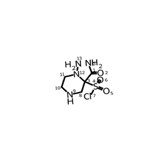 NC(=O)C1(S(=O)(=O)Cl)CNCCN1N